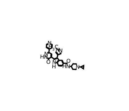 Cn1cc(-c2c(-c3cc(-c4ccncc4)n[nH]c3=O)[nH]c3ccc(C(=O)NC4CCN(C5CC5)CC4)cc23)cn1